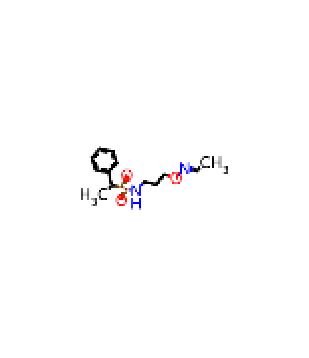 C/C=N/OCCCNS(=O)(=O)C(C)c1ccccc1